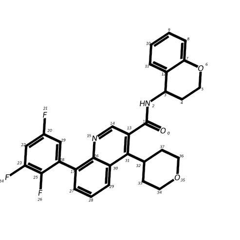 O=C(NC1CCOc2ccccc21)c1cnc2c(-c3cc(F)cc(F)c3F)cccc2c1C1CCOCC1